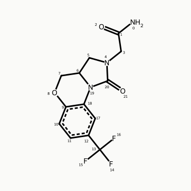 NC(=O)CN1CC2COc3ccc(C(F)(F)F)cc3N2C1=O